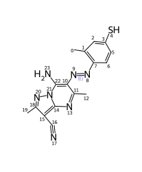 Cc1cc(S)ccc1/N=N/c1c(C)nc2c(C#N)c(C)nn2c1N